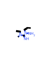 C=CN(C)C(=N)N(N)/C=C\C